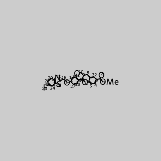 COC(=O)c1cccc(CC2COc3cc(OCc4nc5ccc(F)cc5s4)ccc3C2=O)c1